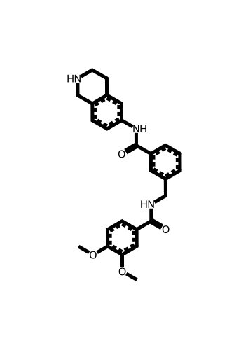 COc1ccc(C(=O)NCc2cccc(C(=O)Nc3ccc4c(c3)CCNC4)c2)cc1OC